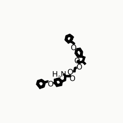 CC(Cc1ccc(OCc2ccccc2)cc1)C(=O)OCCOC(=O)C(N)Cc1ccc(OCc2ccccc2)cc1